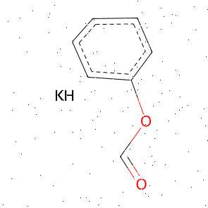 O=COc1ccccc1.[KH]